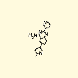 Cc1ccc(-c2ccc3nc(-c4cccnc4)nc(N)c3c2)cn1